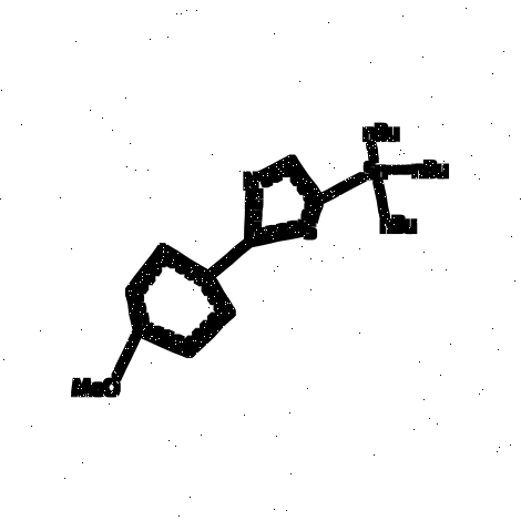 CCC[CH2][Sn]([CH2]CCC)([CH2]CCC)[c]1cnc(-c2ccc(OC)cc2)s1